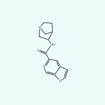 O=C(NC1CN2CCC1C2)c1cc2ccoc2cn1